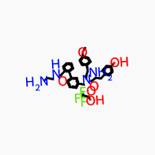 COc1ccc(CCN(Cc2cccc(-c3ccccc3C(=O)NCCN)c2)C(=O)[C@@H](N)Cc2ccc(O)cc2)cc1.O=C(O)C(F)(F)F